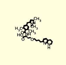 Cc1cc(Cc2cc(C)c(C(=O)N[C@@H](CCOCCCCc3ccc4c(n3)NCCC4)C(=O)O)c(C)c2)n(C)n1